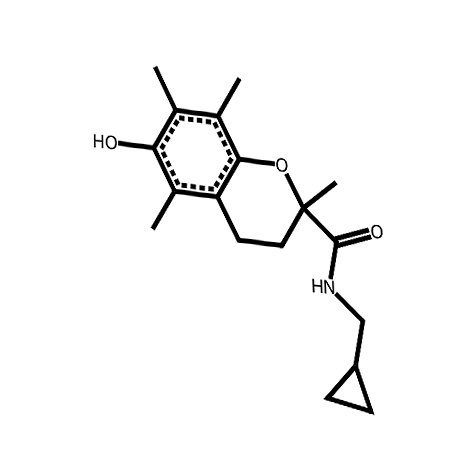 Cc1c(C)c2c(c(C)c1O)CCC(C)(C(=O)NCC1CC1)O2